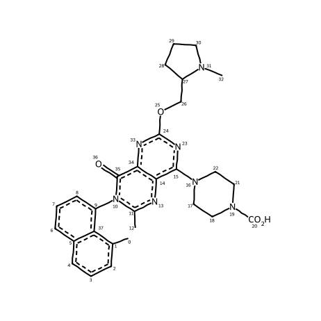 Cc1cccc2cccc(-n3c(C)nc4c(N5CCN(C(=O)O)CC5)nc(OCC5CCCN5C)nc4c3=O)c12